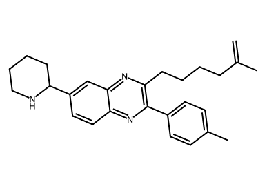 C=C(C)CCCCc1nc2cc(C3CCCCN3)ccc2nc1-c1ccc(C)cc1